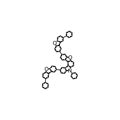 c1ccc(-c2ccc3oc4ccc(-c5ccc6c(c5)oc5ccc7c(c8cc(-c9ccc%10oc%11ccc(-c%12ccccc%12)cc%11c%10c9)ccc8n7-c7ccccc7)c56)cc4c3c2)cc1